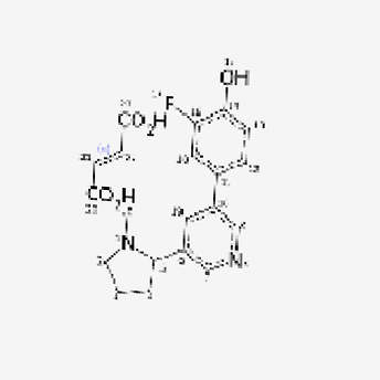 CN1CCCC1c1cncc(-c2ccc(O)c(F)c2)c1.O=C(O)/C=C/C(=O)O